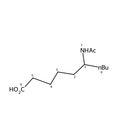 CCCCC(CCCCC(=O)O)NC(C)=O